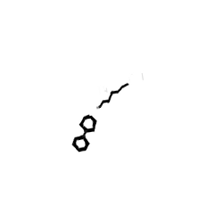 CCCCC(Br)CCCOc1ccc(-c2ccccc2)cc1